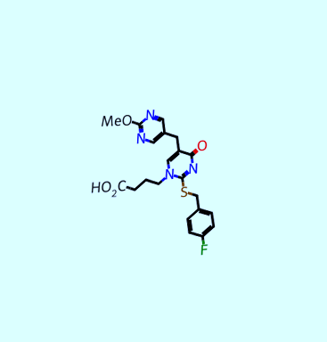 COc1ncc(Cc2cn(CCCC(=O)O)c(SCc3ccc(F)cc3)nc2=O)cn1